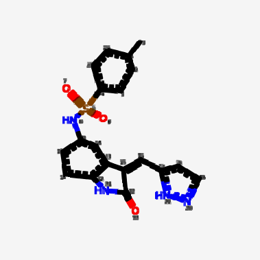 Cc1ccc(S(=O)(=O)Nc2ccc3c(c2)C(=Cc2ccn[nH]2)C(=O)N3)cc1